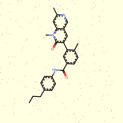 CCCc1ccc(NC(=O)c2ccc(C)c(-c3cc4cnc(C)cc4n(C)c3=O)c2)cc1